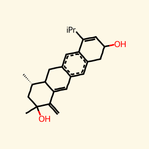 C=C1C2=Cc3cc4c(cc3CC2[C@@H](C)CC1(C)O)C(C(C)C)=CC(O)C4